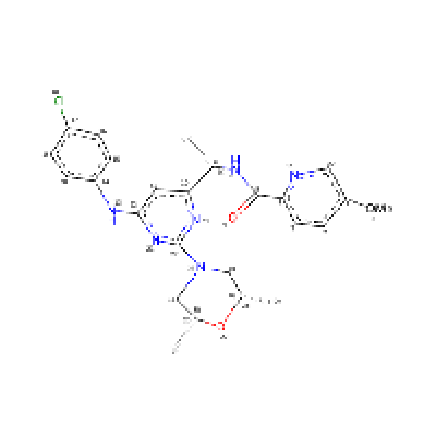 COc1ccc(C(=O)N[C@@H](C)c2cc(Nc3ccc(Cl)cc3)nc(N3C[C@@H](C)O[C@@H](C)C3)n2)nc1